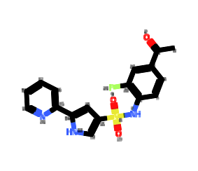 CC(=O)c1ccc(NS(=O)(=O)c2c[nH]c(-c3ccccn3)c2)c(F)c1